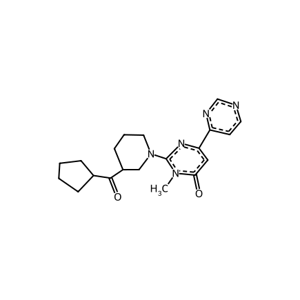 Cn1c(N2CCCC(C(=O)C3CCCC3)C2)nc(-c2ccncn2)cc1=O